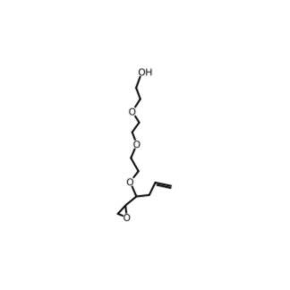 C=CCC(OCCOCCOCCO)C1CO1